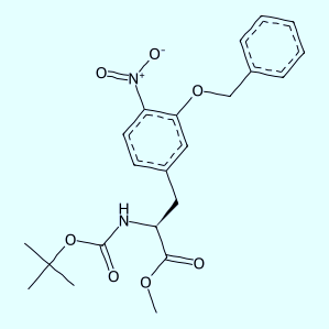 COC(=O)[C@H](Cc1ccc([N+](=O)[O-])c(OCc2ccccc2)c1)NC(=O)OC(C)(C)C